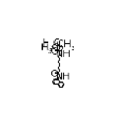 CC(C)(C)OC(=O)NCCCCCCC(=O)Nc1cccc2ccccc12